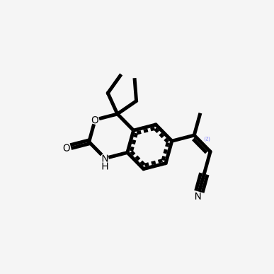 CCC1(CC)OC(=O)Nc2ccc(/C(C)=C\C#N)cc21